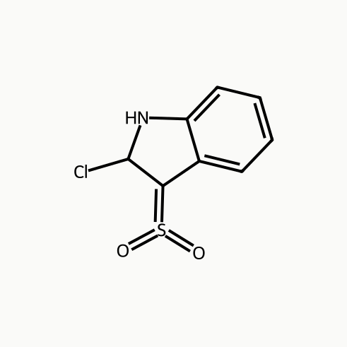 O=S(=O)=C1c2ccccc2NC1Cl